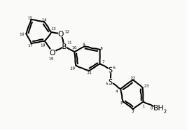 Bc1ccc(SSc2ccc(B3Oc4ccccc4O3)cc2)cc1